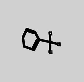 ClS(Cl)(Cl)C1=CCCC=C1